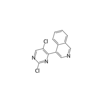 Clc1ncc(Cl)c(-c2cncc3ccccc23)n1